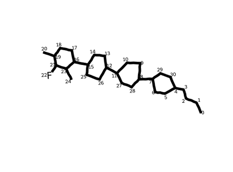 CCCCC1CCC(C2CCC(C3CCC(C4CCC(C)C(F)C4C)CC3)CC2)CC1